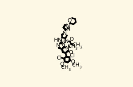 C=CC(=O)NC1CN(c2ccn(C3CCCCO3)n2)CC1Nc1ncc2cc(-c3c(Cl)c(OC)cc(OC)c3Cl)c(=O)n(C)c2n1